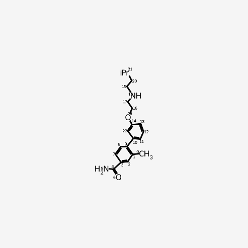 Cc1cc(C(N)=O)ccc1-c1cccc(OCCNCCC(C)C)c1